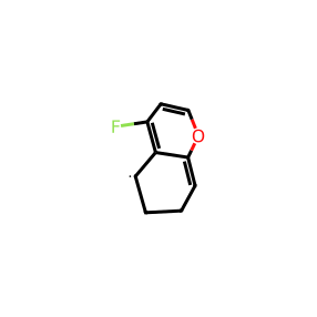 FC1=C2[CH]CCC=C2OC=C1